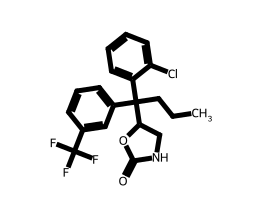 CCCC(c1cccc(C(F)(F)F)c1)(c1ccccc1Cl)C1CNC(=O)O1